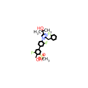 CC(C)(O)c1cn(-c2ccc(-c3cc(F)c(CO)c(S(C)(=O)=O)c3)cc2F)c(Cc2ccccc2F)n1